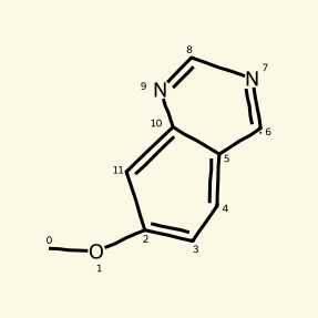 COc1ccc2[c]ncnc2c1